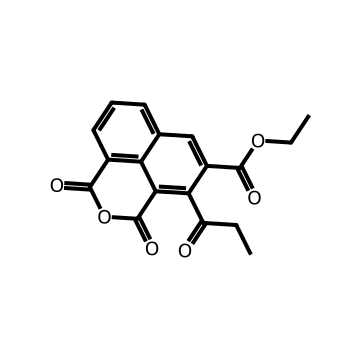 CCOC(=O)c1cc2cccc3c2c(c1C(=O)CC)C(=O)OC3=O